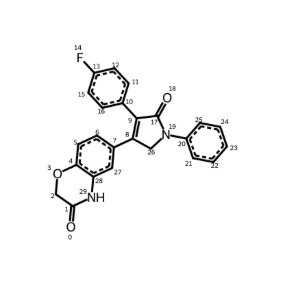 O=C1COc2ccc(C3=C(c4ccc(F)cc4)C(=O)N(c4ccccc4)C3)cc2N1